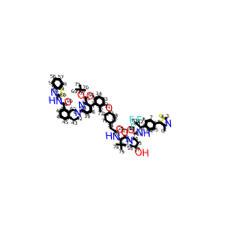 Cc1ncsc1-c1ccc([C@@H](NC(=O)[C@@H]2C[C@@H](O)CN2C(=O)C(NC(=O)CC2CCC(Oc3cccc(-c4ccc(N5CCc6cccc(C(=O)Nc7nc8ccccc8s7)c6C5)nc4C(=O)OC(C)(C)C)c3C)CC2)C(C)(C)C)C(F)(F)F)cc1